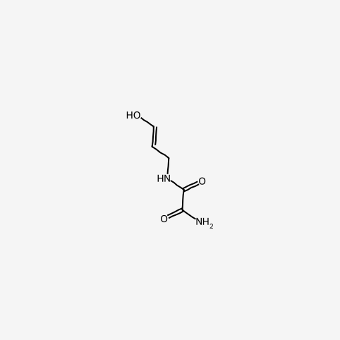 NC(=O)C(=O)NCC=CO